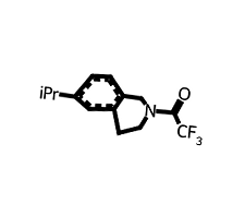 CC(C)c1ccc2c(c1)CCN(C(=O)C(F)(F)F)C2